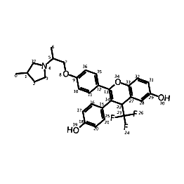 CC1CCN(C(C)COc2ccc(C3=C(c4ccc(O)cc4)C(C(F)(F)F)c4cc(O)ccc4O3)cc2)C1